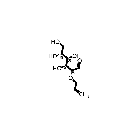 C=CCO[C@@H](C=O)[C@@H](O)[C@H](O)[C@H](O)CO